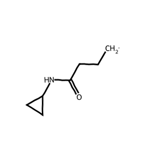 [CH2]CCC(=O)NC1CC1